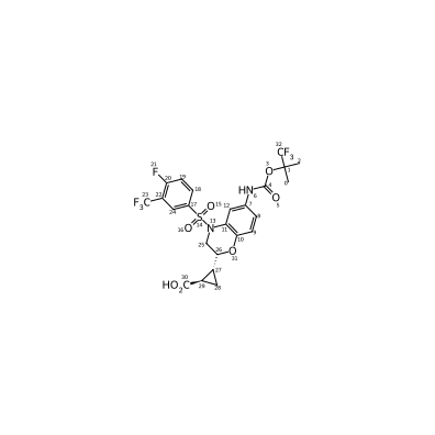 CC(C)(OC(=O)Nc1ccc2c(c1)N(S(=O)(=O)c1ccc(F)c(C(F)(F)F)c1)CC([C@@H]1C[C@H]1C(=O)O)O2)C(F)(F)F